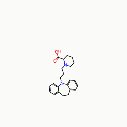 O=C(O)C1CCCCN1CCCN1c2ccccc2CCc2ccccc21